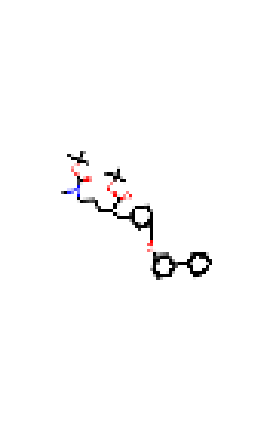 CN(CCCC(Cc1cccc(COc2cccc(-c3ccccc3)c2)c1)C(=O)OC(C)(C)C)C(=O)OC(C)(C)C